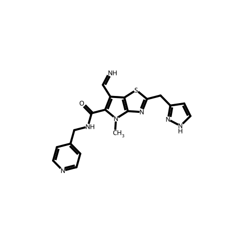 Cn1c(C(=O)NCc2ccncc2)c(C=N)c2sc(Cc3cc[nH]n3)nc21